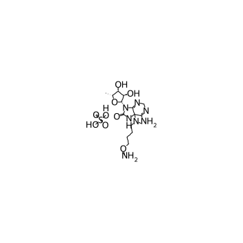 C[C@H]1O[C@@H](N2C(=O)NC3(N(C)CCCCON)C(N)=NCN=C23)[C@H](O)[C@@H]1O.O=S(=O)(O)O